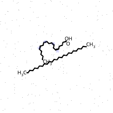 CCCCC/C=C\C/C=C\C/C=C\C/C=C\CCCC(=O)O.CCCCCCCCCCCCCCCCCCCCCCCCCCC